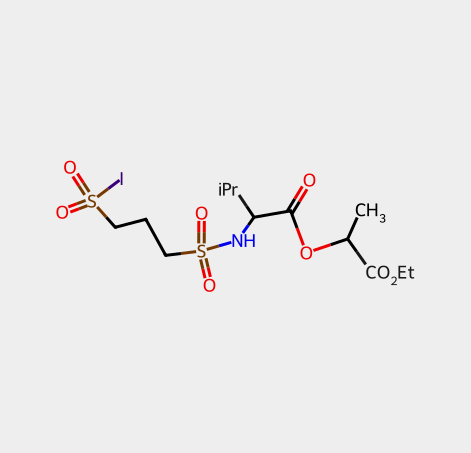 CCOC(=O)C(C)OC(=O)C(NS(=O)(=O)CCCS(=O)(=O)I)C(C)C